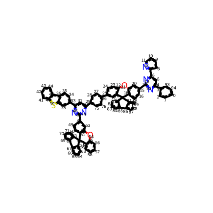 c1ccc(-c2cc(-c3ccccn3)nc(-c3ccc4c(c3)Oc3ccc(-c5ccc(-c6cc(-c7ccc8c(c7)sc7ccccc78)nc(-c7ccc8c(c7)Oc7ccccc7C87c8ccccc8-c8ccccc87)n6)cc5)cc3C43c4ccccc4-c4ccccc43)n2)cc1